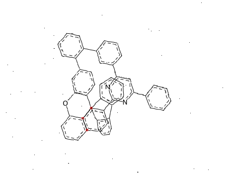 c1ccc(-c2cc(-c3cccc(-c4ccccc4-c4ccc5c(c4)Oc4ccccc4C54c5ccccc5-c5ccccc54)c3)nc(-c3ccccc3)n2)cc1